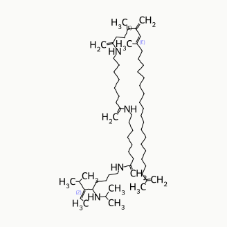 C=C(C)CCCCCCCCCCCCCCCCCC/C(C)=C/C(=C)[C@@H](C)CCC(=C)NCCCCCCCC(=C)NCCCCCCCC(=C)NCCCCC(NC(C)C)/C(=C\C)C(C)C